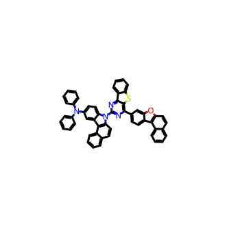 c1ccc(N(c2ccccc2)c2ccc3c(c2)c2c4ccccc4ccc2n3-c2nc(-c3ccc4c(c3)oc3ccc5ccccc5c34)c3sc4ccccc4c3n2)cc1